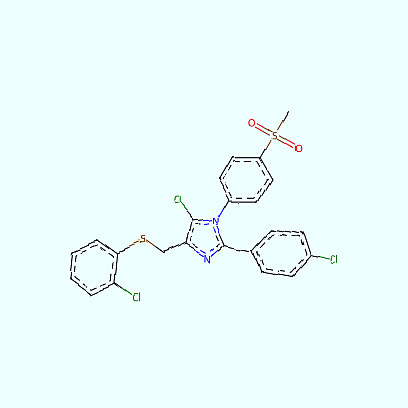 CS(=O)(=O)c1ccc(-n2c(-c3ccc(Cl)cc3)nc(CSc3ccccc3Cl)c2Cl)cc1